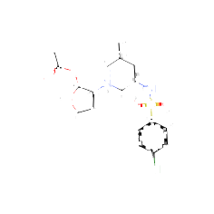 CC(=O)O[C@@H]1OCC[C@@H]1NC[C@@H](CC(C)C)NS(=O)(=O)c1ccc(Cl)cc1